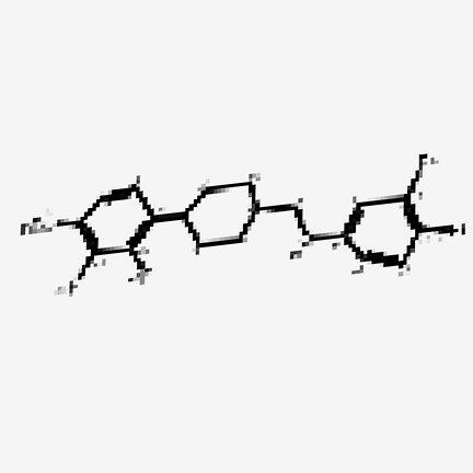 CCCCc1ccc(C2CCC(COc3ccc(CC)c(F)c3)CC2)c(F)c1F